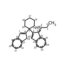 CC[SiH]=C1C(C2(C3=Cc4ccccc4C3)CCCCC2)=Cc2ccccc21